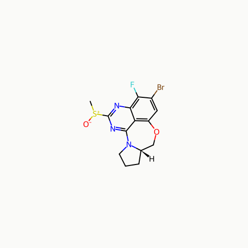 C[S+]([O-])c1nc2c3c(cc(Br)c(F)c3n1)OC[C@@H]1CCCN21